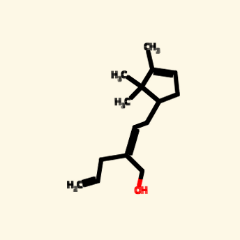 C=CCC(=CCC1CC=C(C)C1(C)C)CO